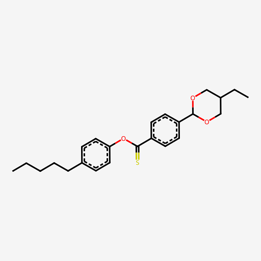 CCCCCc1ccc(OC(=S)c2ccc(C3OCC(CC)CO3)cc2)cc1